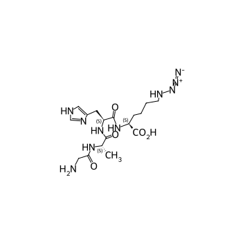 C[C@H](NC(=O)CN)C(=O)N[C@@H](Cc1c[nH]cn1)C(=O)N[C@@H](CCCCNN=[N+]=[N-])C(=O)O